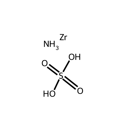 N.O=S(=O)(O)O.[Zr]